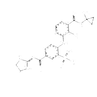 CC1(NC(=O)c2cccc(Nc3ccc(C(=O)N=C4NCCN4)cc3S(C)(=N)=O)c2Cl)CC1